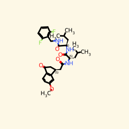 COc1ccc2c(c1)[C@H](CC(=O)N[C@@H](CC(C)C)C(=O)N[C@H](CC(C)C)C(=O)NCc1c(F)cccc1F)CC2=O